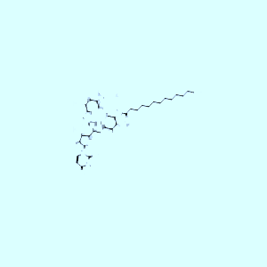 CC(=O)N[C@H]1[C@@H](O[C@@H]2O[C@H](C[C@@H](O)[C@H]3O[C@@H](n4ccc(=O)[nH]c4=O)[C@H](O)[C@@H]3O)[C@H](O)[C@H](O)[C@H]2NC(=O)CCCCCCCCCCCC(C)C)O[C@H](CO)[C@@H](O)[C@@H]1O